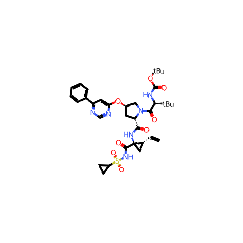 C=C[C@@H]1C[C@]1(NC(=O)[C@@H]1C[C@@H](Oc2cc(-c3ccccc3)ncn2)CN1C(=O)[C@@H](NC(=O)OC(C)(C)C)C(C)(C)C)C(=O)NS(=O)(=O)C1CC1